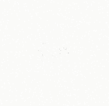 CC(C)(C)OC(=O)n1ccc2ccc(-c3n[nH]c(=O)o3)cc21